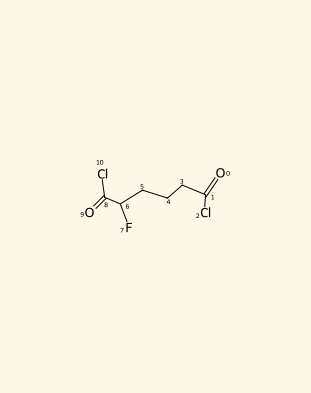 O=C(Cl)CCCC(F)C(=O)Cl